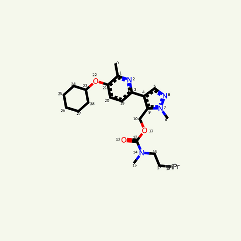 Cc1nc(-c2cnn(C)c2COC(=O)N(C)CCC(C)C)ccc1OC1CCCCC1